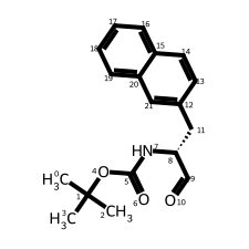 CC(C)(C)OC(=O)N[C@@H]([C]=O)Cc1ccc2ccccc2c1